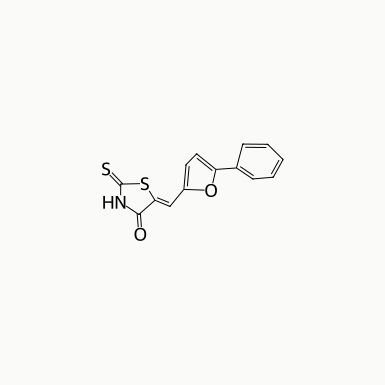 O=C1NC(=S)S/C1=C\c1ccc(-c2ccccc2)o1